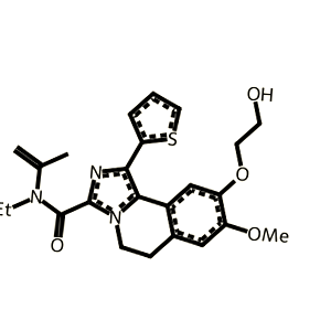 C=C(C)N(CC)C(=O)c1nc(-c2cccs2)c2n1CCc1cc(OC)c(OCCO)cc1-2